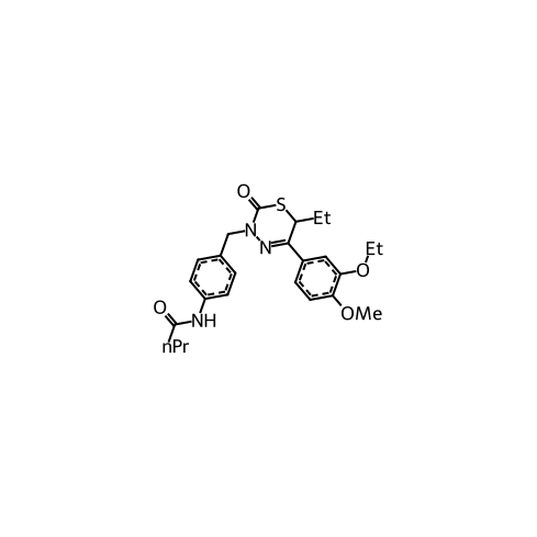 CCCC(=O)Nc1ccc(CN2N=C(c3ccc(OC)c(OCC)c3)C(CC)SC2=O)cc1